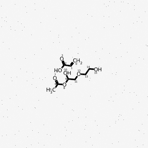 C=CC(=O)O.CC(=O)OC(O)COCCO